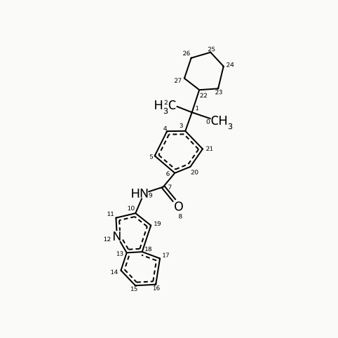 CC(C)(c1ccc(C(=O)Nc2cnc3ccccc3c2)cc1)C1CCCCC1